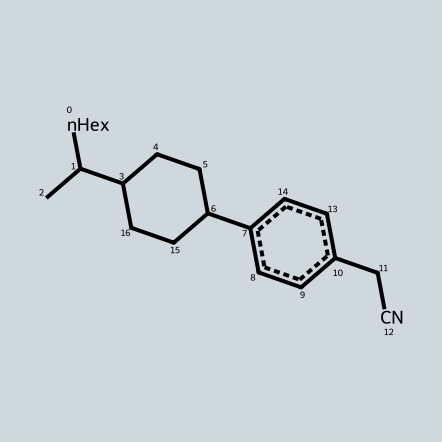 CCCCCCC(C)C1CCC(c2ccc(CC#N)cc2)CC1